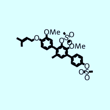 COc1cc(-c2c(C)cc(-c3ccc(OS(C)(=O)=O)cc3)c(OC)c2OS(C)(=O)=O)ccc1OCC=C(C)C